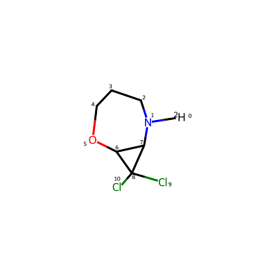 [2H]N1CCCOC2C1C2(Cl)Cl